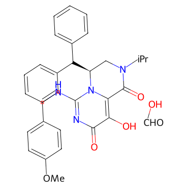 COc1ccc(CNc2nc(=O)c(O)c3n2[C@@H](C(c2ccccc2)c2ccccc2)CN(C(C)C)C3=O)cc1.O=CO